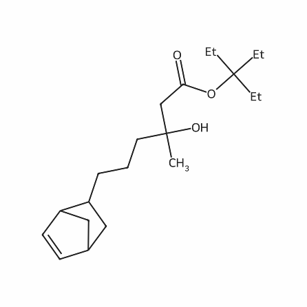 CCC(CC)(CC)OC(=O)CC(C)(O)CCCC1CC2C=CC1C2